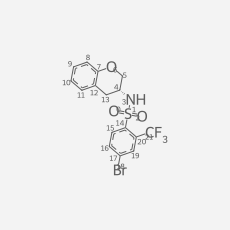 O=S(=O)(N[C@H]1COc2ccccc2C1)c1ccc(Br)cc1C(F)(F)F